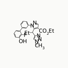 CCOC(=O)c1cnn(-c2cccc(-c3cccc(O)c3F)c2)c1C(CC)c1cn(C)nn1